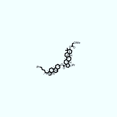 COCC(=O)O[C@H]1CC[C@@]2(C)C(CC[C@]3(C)[C@@H]2CC[C@@H]2C4[C@H](C(C)C)CC[C@]4(C(=O)O[C@@H]4CC[C@@]5(C)C(=CC[C@H]6[C@@H]7CC[C@H]([C@H](C)CCCC(C)C)[C@@]7(C)CC[C@@H]65)C4)CC[C@]23C)C1(C)C